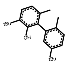 Cc1ccc(C(C)(C)C)cc1-c1c(C)ccc(C(C)(C)C)c1O